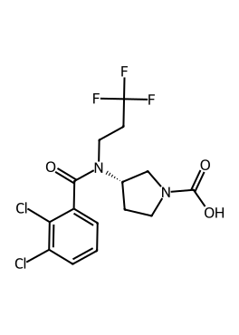 O=C(O)N1CC[C@H](N(CCC(F)(F)F)C(=O)c2cccc(Cl)c2Cl)C1